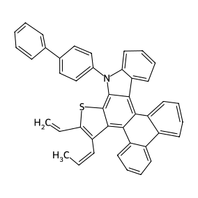 C=Cc1sc2c(c1/C=C\C)c1c3ccccc3c3ccccc3c1c1c3ccccc3n(-c3ccc(-c4ccccc4)cc3)c21